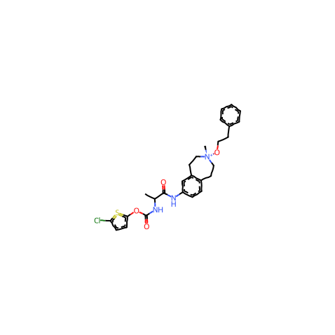 CC(NC(=O)Oc1ccc(Cl)s1)C(=O)Nc1ccc2c(c1)CC[N@+](C)(OCCc1ccccc1)CC2